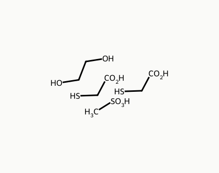 CS(=O)(=O)O.O=C(O)CS.O=C(O)CS.OCCO